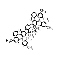 Cc1ccc(N(c2ccc(C)cc2C)c2cc3c(c4oc5ccccc5c24)-c2ccc4c(c2C3(C)C)C(C)(C)c2cc(N(c3ccc(C)cc3C)c3ccc(C)cc3C)c3c(oc5ccccc53)c2-4)c(C)c1